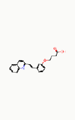 O=C(O)CCCOc1cccc(C=Cc2ccc3ccccc3n2)c1